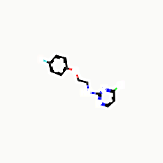 Fc1ccc(OCCNc2nccc(Cl)n2)cc1